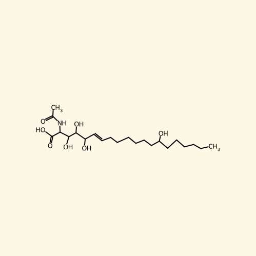 CCCCCCC(O)CCCCCC/C=C/C(O)C(O)C(O)C(NC(C)=O)C(=O)O